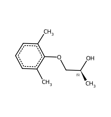 Cc1cccc(C)c1OC[C@H](C)O